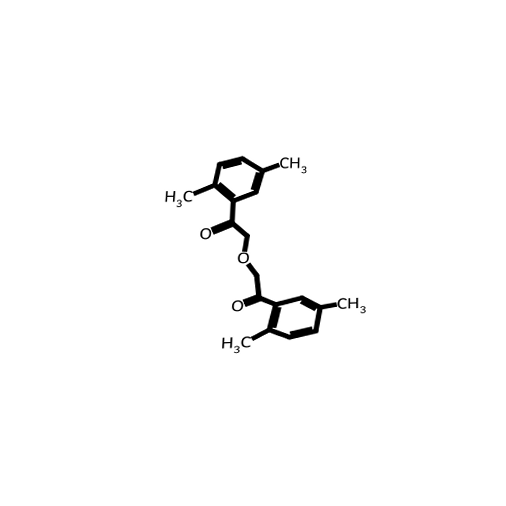 Cc1ccc(C)c(C(=O)COCC(=O)c2cc(C)ccc2C)c1